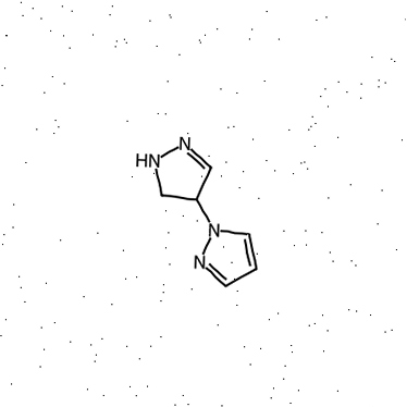 C1=NNCC1n1cccn1